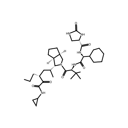 CCC[C@H](CC(C)[C@@H]1[C@H]2CCC[C@H]2CN1C(=O)[C@@H](NC(=O)[C@@H](NC(=O)[C@@H]1CNC(=O)N1)C1CCCCC1)C(C)(C)C)C(=O)C(=O)NC1CC1